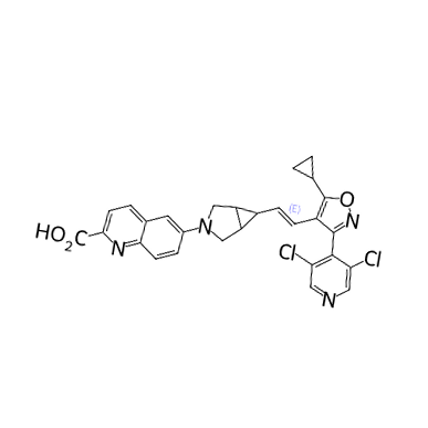 O=C(O)c1ccc2cc(N3CC4C(/C=C/c5c(-c6c(Cl)cncc6Cl)noc5C5CC5)C4C3)ccc2n1